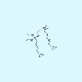 CCO[Si](CCOCC1CO1)(OCC)OCC.C[Si](C)(C)CCCOCC1CO1